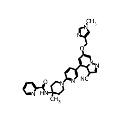 Cn1cnc(COC2=CN3N=CC(C#N)C3C(c3ccc(N4CCC(C)(NC(=O)c5ccccn5)CC4)nc3)=C2)c1